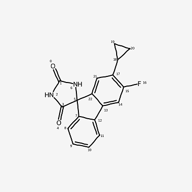 O=C1NC(=O)C2(N1)c1ccccc1-c1cc(F)c(C3CC3)cc12